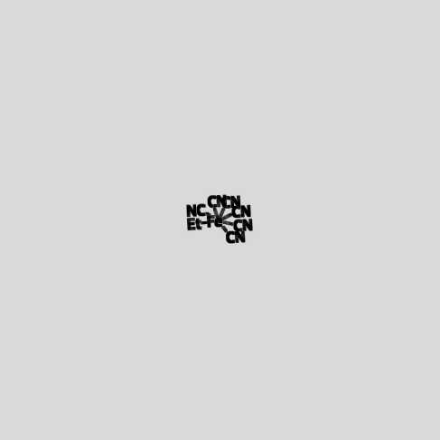 C[CH2][Fe]([C]#N)([C]#N)([C]#N)([C]#N)([C]#N)[C]#N